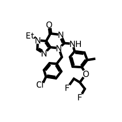 CCn1cnc2c1c(=O)nc(Nc1ccc(OC(CF)CF)c(C)c1)n2Cc1ccc(Cl)cc1